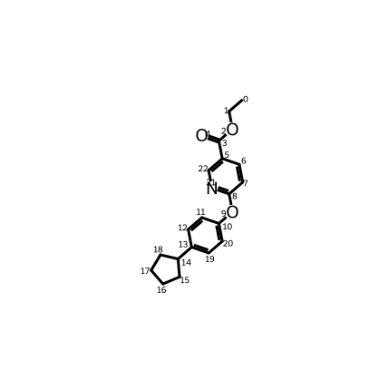 CCOC(=O)c1ccc(Oc2ccc(C3CCCC3)cc2)nc1